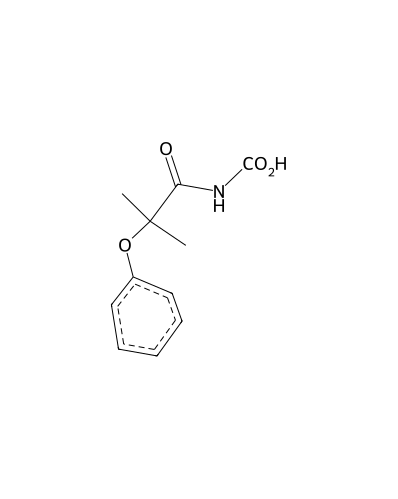 CC(C)(Oc1ccccc1)C(=O)NC(=O)O